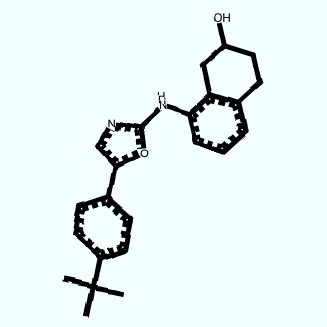 CC(C)(C)c1ccc(-c2cnc(Nc3cccc4c3CC(O)CC4)o2)cc1